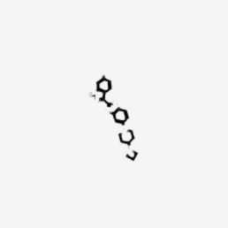 Clc1ccc2c(-c3nc4cc(N5CCC(N6CCC6)CC5)ccc4[nH]3)n[nH]c2c1